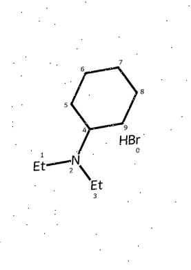 Br.CCN(CC)C1CCCCC1